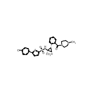 CN1CCN(C(=O)c2ccccc2[C@@H]2C[C@]2(NS(=O)(=O)c2ccc(-c3ccc(Cl)cc3)s2)C(=O)O)CC1